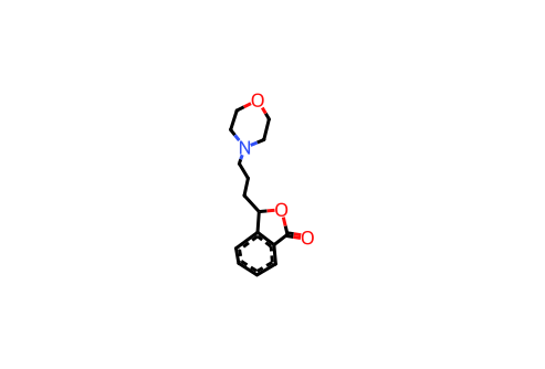 O=C1OC(CCCN2CCOCC2)c2ccccc21